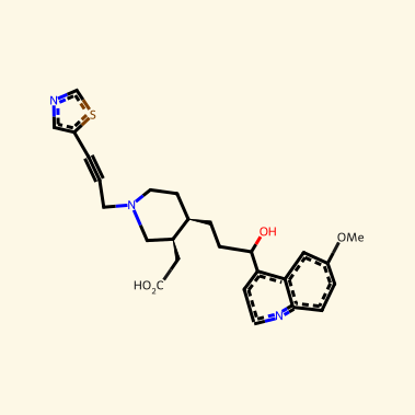 COc1ccc2nccc(C(O)CC[C@@H]3CCN(CC#Cc4cncs4)C[C@@H]3CC(=O)O)c2c1